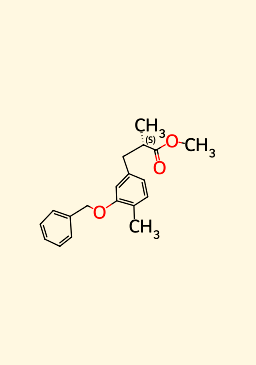 COC(=O)[C@@H](C)Cc1ccc(C)c(OCc2ccccc2)c1